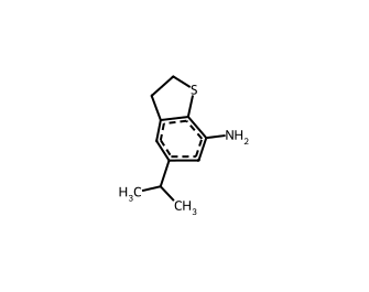 CC(C)c1cc(N)c2c(c1)CCS2